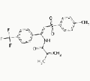 C=C(C)C(=O)NC(=CS(=O)(=O)c1ccc(C)cc1)c1ccc(C(F)(F)F)cc1